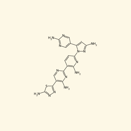 Nc1[c]c(-c2cnc(N)nc2)n(-c2ccc(-c3ncc(-c4nnc(N)s4)c(N)n3)c(N)n2)n1